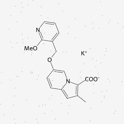 COc1ncccc1COc1ccc2cc(C)c(C(=O)[O-])n2c1.[K+]